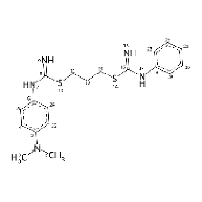 CN(C)c1ccc(NC(=N)SCCCSC(=N)Nc2ccccc2)cc1